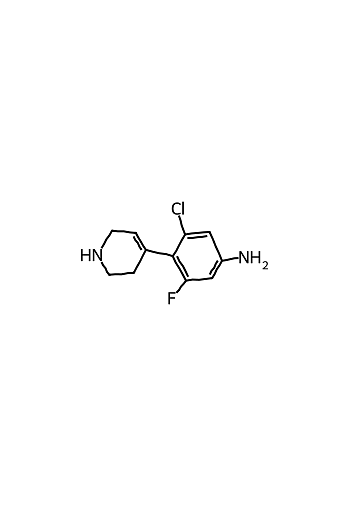 Nc1cc(F)c(C2=CCNCC2)c(Cl)c1